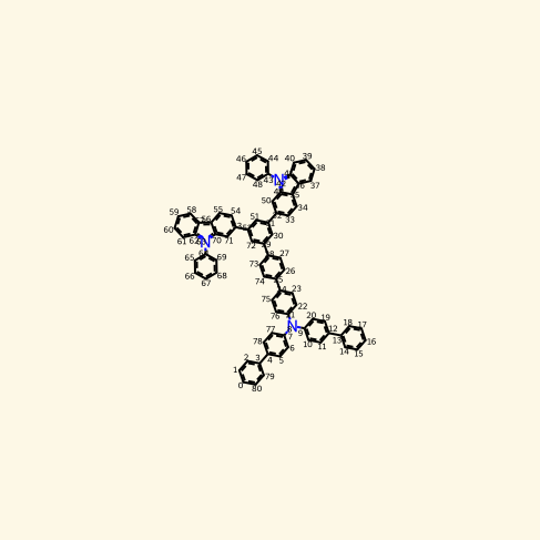 c1ccc(-c2ccc(N(c3ccc(-c4ccccc4)cc3)c3ccc(-c4ccc(-c5cc(-c6ccc7c8ccccc8n(-c8ccccc8)c7c6)cc(-c6ccc7c8ccccc8n(-c8ccccc8)c7c6)c5)cc4)cc3)cc2)cc1